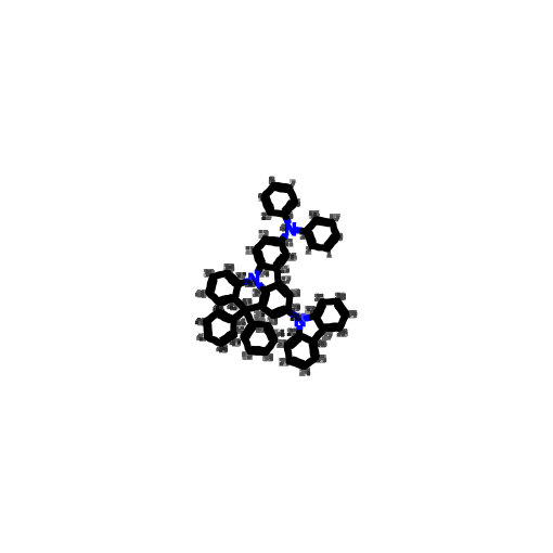 c1ccc(N(c2ccccc2)c2ccc3c(c2)c2cc(-n4c5ccccc5c5ccccc54)cc4c2n3-c2ccccc2C4(c2ccccc2)c2ccccc2)cc1